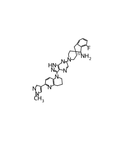 Cn1cc(-c2ccc3c(n2)CCCN3c2n[nH]c3nc(N4CCC5(CC4)Cc4cccc(F)c4[C@H]5N)cnc23)cn1